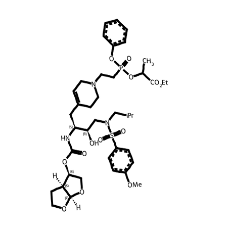 CCOC(=O)C(C)OP(=O)(CCN1CC=C(C[C@H](NC(=O)O[C@H]2CO[C@H]3OCC[C@H]32)[C@H](O)CN(CC(C)C)S(=O)(=O)c2ccc(OC)cc2)CC1)Oc1ccccc1